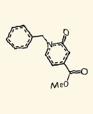 COC(=O)c1ccn(Cc2ccccc2)c(=O)c1